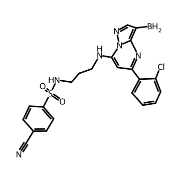 Bc1cnn2c(NCCCNS(=O)(=O)c3ccc(C#N)cc3)cc(-c3ccccc3Cl)nc12